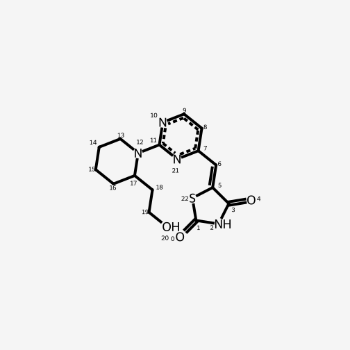 O=C1NC(=O)C(=Cc2ccnc(N3CCCCC3CCO)n2)S1